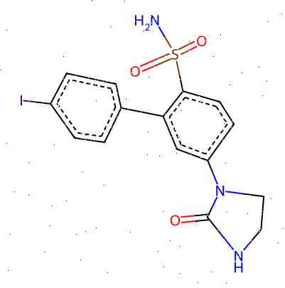 NS(=O)(=O)c1ccc(N2CCNC2=O)cc1-c1ccc(I)cc1